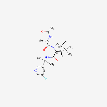 CC(C#N)(NC(=O)[C@@H]1[C@@H]2[C@H](CN1C(=O)[C@@H](NC(=O)C(F)(F)F)C(C)(C)C)C2(C)C)c1cncc(F)c1